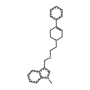 Cn1cc(CSCCN2CC=C(c3ccccc3)CC2)c2ccccc21